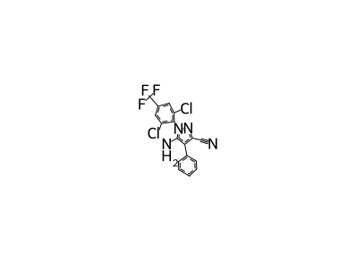 N#Cc1nn(-c2c(Cl)cc(C(F)(F)F)cc2Cl)c(N)c1-c1ccccc1